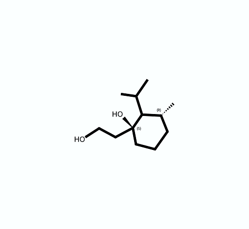 CC(C)C1[C@H](C)CCC[C@]1(O)CCO